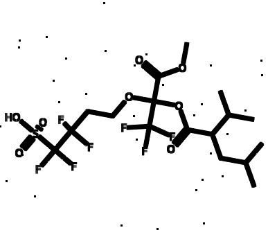 COC(=O)C(OCCC(F)(F)C(F)(F)S(=O)(=O)O)(OC(=O)C(CC(C)C)C(C)C)C(F)(F)F